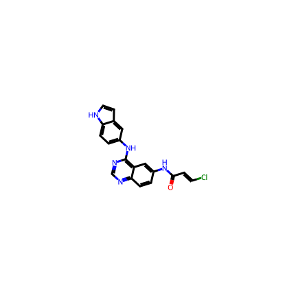 O=C(C=CCl)Nc1ccc2ncnc(Nc3ccc4[nH]ccc4c3)c2c1